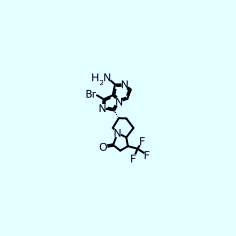 Nc1nccn2c([C@@H]3CCC4C(C(F)(F)F)CC(=O)N4C3)nc(Br)c12